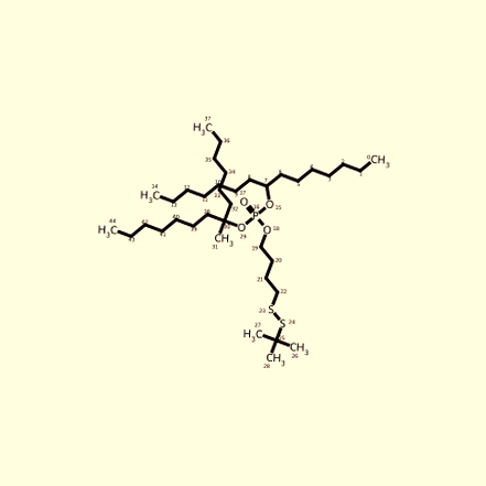 CCCCCCCC(CCCCCCC)OP(=O)(OCCCCSSC(C)(C)C)OC(C)(CCCCCC)CCCCCCC